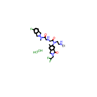 CCNCCN(C(=O)CNCC(=O)N(C)N1Cc2ccc(F)cc2C1)c1cc2c(cc1C)CN(CC(F)F)C2=O.Cl.Cl